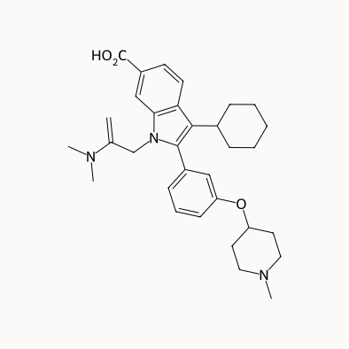 C=C(Cn1c(-c2cccc(OC3CCN(C)CC3)c2)c(C2CCCCC2)c2ccc(C(=O)O)cc21)N(C)C